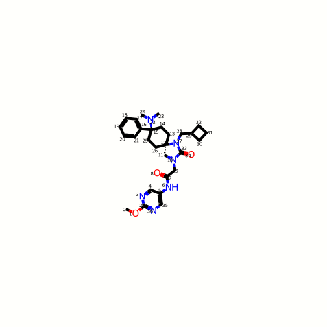 COc1ncc(NC(=O)CN2C[C@]3(CC[C@](c4ccccc4)(N(C)C)CC3)N(CC3CCC3)C2=O)cn1